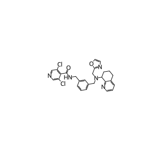 O=C(NCc1cccc(CN(Cc2ncco2)C2CCCc3cccnc32)c1)c1c(Cl)cncc1Cl